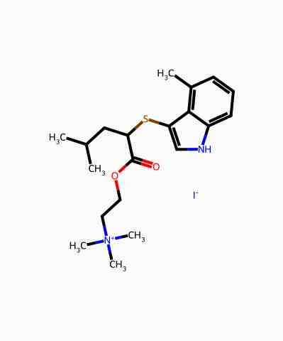 Cc1cccc2[nH]cc(SC(CC(C)C)C(=O)OCC[N+](C)(C)C)c12.[I-]